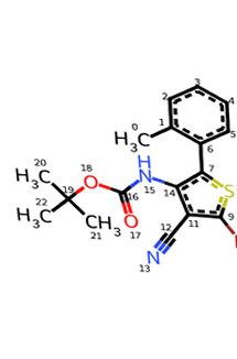 Cc1ccccc1-c1sc(Br)c(C#N)c1NC(=O)OC(C)(C)C